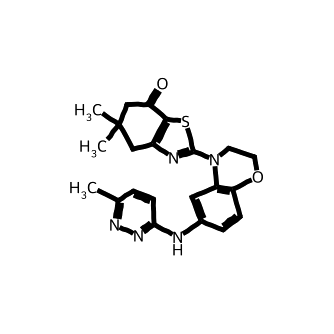 Cc1ccc(Nc2ccc3c(c2)N(c2nc4c(s2)C(=O)CC(C)(C)C4)CCO3)nn1